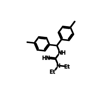 CCN(CC)C(=N)NC(c1ccc(C)cc1)c1ccc(C)cc1